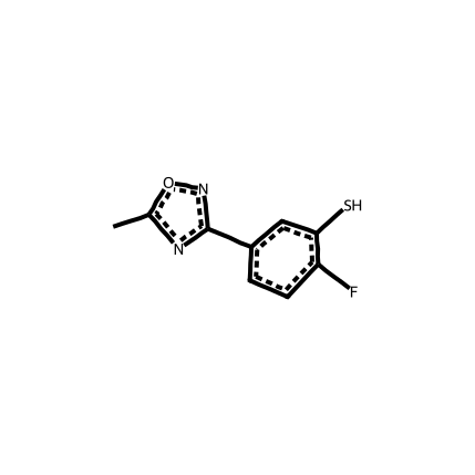 Cc1nc(-c2ccc(F)c(S)c2)no1